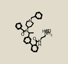 CC(c1cccc(-c2ccccc2C(=O)NCCN)c1)N(C(=O)c1ccccc1)C1CCN(Cc2ccccc2)CC1.Cl.Cl